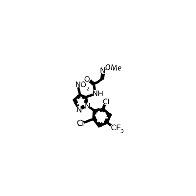 CON=CC(=O)Nc1c([N+](=O)[O-])cnn1-c1c(Cl)cc(C(F)(F)F)cc1Cl